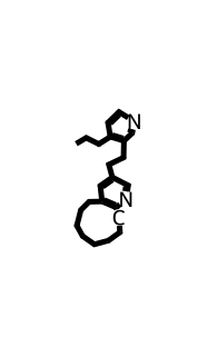 CCCc1ccncc1CCc1cnc2c(c1)CCCCCCCC2